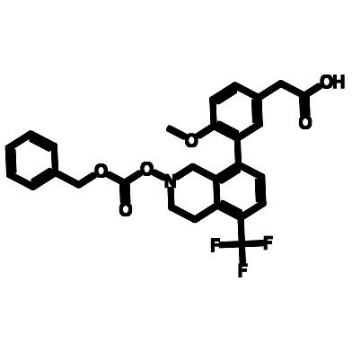 COc1ccc(CC(=O)O)cc1-c1ccc(C(F)(F)F)c2c1CN(OC(=O)OCc1ccccc1)CC2